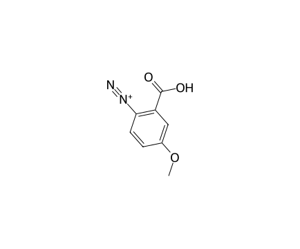 COc1ccc([N+]#N)c(C(=O)O)c1